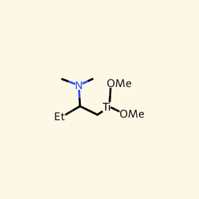 CCC([CH2][Ti]([O]C)[O]C)N(C)C